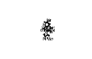 CNC1CN(c2nc3ncc(Br)cc3n3cnnc23)C1C.O=S(=O)(O)O